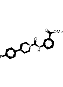 COC(=O)c1cccc(NC(=O)N2CC=C(c3ccc(F)cc3)CC2)c1